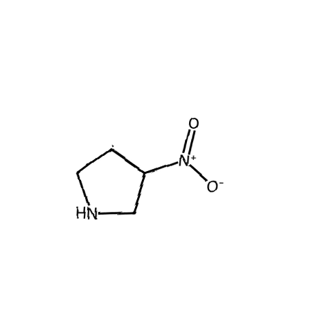 O=[N+]([O-])C1[CH]CNC1